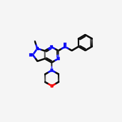 CN1NCc2c(N3CCOCC3)nc(NCc3ccccc3)nc21